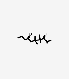 CCCC(=O)CC(C)(C)C(C)(C)C(=O)C(C)I